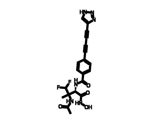 CC(=O)NC(C)(C(F)F)[C@H](NC(=O)c1ccc(C#CC#Cc2c[nH]nn2)cc1)C(=O)NO